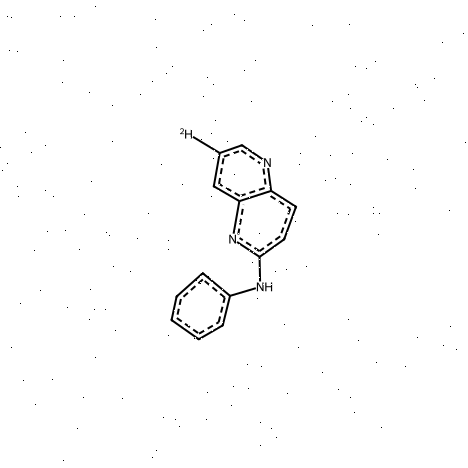 [2H]c1cnc2ccc(Nc3ccccc3)nc2c1